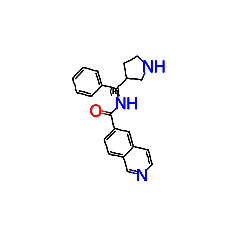 O=C(N[C@@H](c1ccccc1)C1CCNC1)c1ccc2cnccc2c1